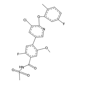 COc1cc(C(=O)NS(C)(=O)=O)c(F)cc1-c1cnc(Oc2cc(F)ccc2C)c(Cl)c1